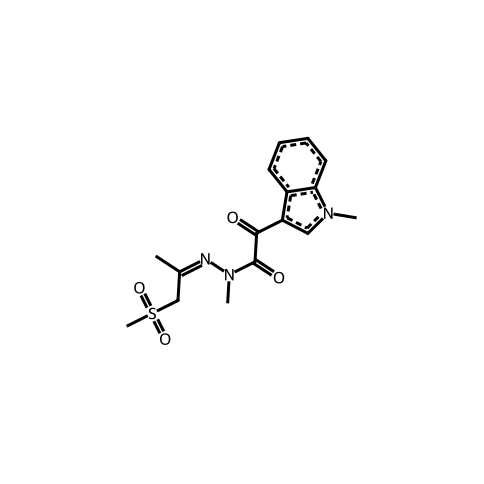 CC(CS(C)(=O)=O)=NN(C)C(=O)C(=O)c1cn(C)c2ccccc12